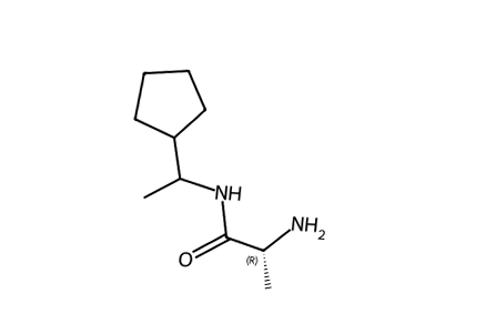 CC(NC(=O)[C@@H](C)N)C1CCCC1